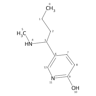 CCCC(NC)c1ccc(O)nc1